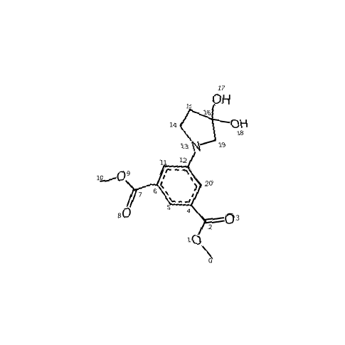 COC(=O)c1cc(C(=O)OC)cc(N2CCC(O)(O)C2)c1